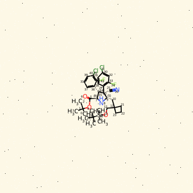 CC(C)(C)OC(=O)[C@@H]1N[C@@H](CC2(CO[Si](C)(C)C(C)(C)C)CCC2)[C@](C#N)(c2ccc(Cl)cc2F)[C@H]1c1cccc(Cl)c1F